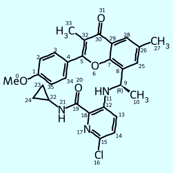 COc1ccc(-c2oc3c([C@@H](C)Nc4ccc(Cl)nc4C(=O)NC4CC4)cc(C)cc3c(=O)c2C)cc1